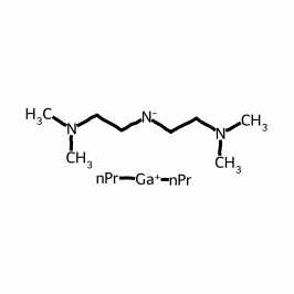 CC[CH2][Ga+][CH2]CC.CN(C)CC[N-]CCN(C)C